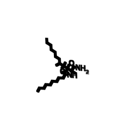 CCCCCCCCCC(=O)NC(C)(C(N)=O)C(C)(C)C(C)(C)C(C)CCCCCCC